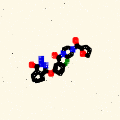 O=C(c1cc(Oc2n[nH]c(=O)c3ccccc23)ccc1F)N1CCN(C(=O)C2CCCO2)CC1